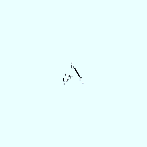 [Li][F].[Lu].[Pr]